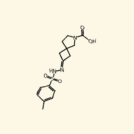 Cc1ccc(S(=O)(=O)NN=C2CC3(CCN(C(=O)O)C3)C2)cc1